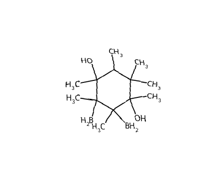 BC1(C)C(C)(O)C(C)C(C)(C)C(C)(O)C1(B)C